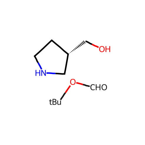 CC(C)(C)OC=O.OC[C@H]1CCNC1